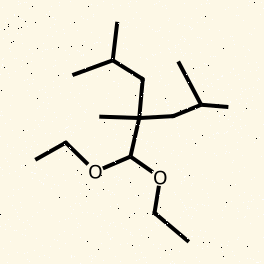 CCOC(OCC)C(C)(CC(C)C)CC(C)C